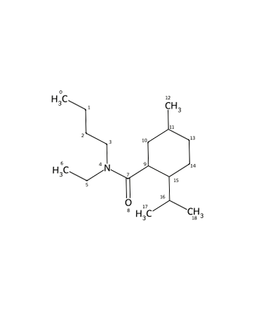 CCCCN(CC)C(=O)C1CC(C)CCC1C(C)C